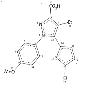 CCc1c(C(=O)O)nn(-c2ccc(OC)cc2)c1-c1ccc(Cl)s1